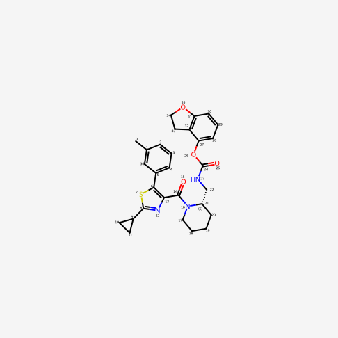 Cc1cccc(-c2sc(C3CC3)nc2C(=O)N2CCCC[C@H]2CNC(=O)Oc2cccc3c2CCO3)c1